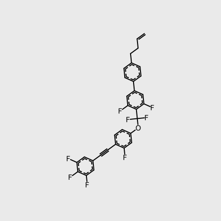 C=CCCc1ccc(-c2cc(F)c(C(F)(F)Oc3ccc(C#Cc4cc(F)c(F)c(F)c4)c(F)c3)c(F)c2)cc1